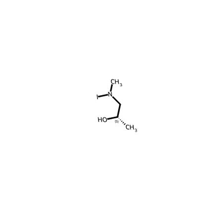 C[C@H](O)CN(C)I